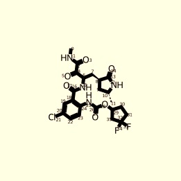 CNC(=O)C(=O)C(C[C@@H]1C[C@@H](C)NC1=O)NC(=O)c1cc(Cl)ccc1NC(=O)OC1CCC(F)(F)C1